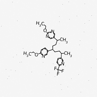 CCOc1ccc(C(CCC(C)c2ccc(C(F)(F)F)nc2)CCC(C)c2cnc(OCC)nc2)cn1